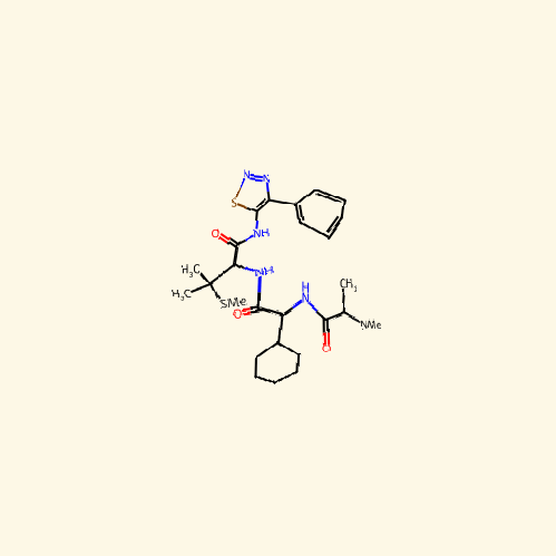 CNC(C)C(=O)NC(C(=O)NC(C(=O)Nc1snnc1-c1ccccc1)C(C)(C)SC)C1CCCCC1